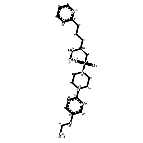 O=S(=O)(C[C@H](CCCc1ncccn1)NO)N1CCN(c2ncc(OCC(F)(F)F)cn2)CC1